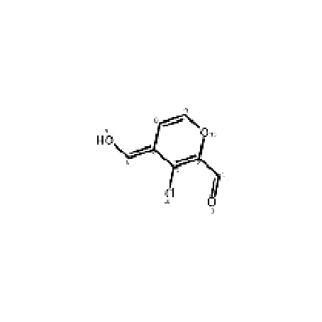 O=CC1=C(Cl)/C(=C/O)C=CO1